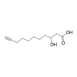 C#CCCCCCCC(O)CC(=O)O